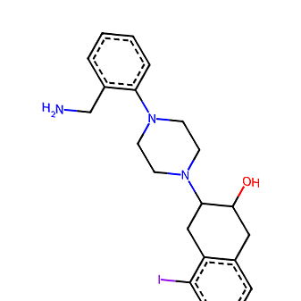 NCc1ccccc1N1CCN(C2Cc3c(I)cccc3CC2O)CC1